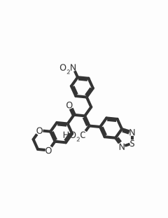 O=C(O)C(=C(Cc1ccc([N+](=O)[O-])cc1)C(=O)c1ccc2c(c1)OCCO2)c1ccc2nsnc2c1